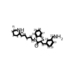 C[C@H]1CCC[C@@](C)(CCCCCN2C(=O)C(Cc3cccc(CN)c3)Sc3ccccc32)N1